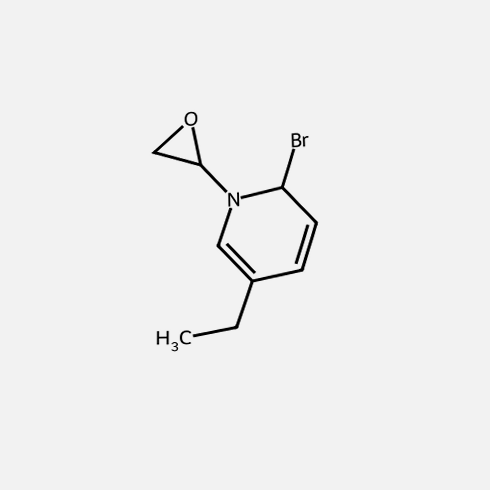 CCC1=CN(C2CO2)C(Br)C=C1